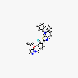 O=C(O)Oc1ccnn1Cc1ccc(-c2nc3ccc(C4(c5ccccc5)CC4)nc3s2)c(F)c1